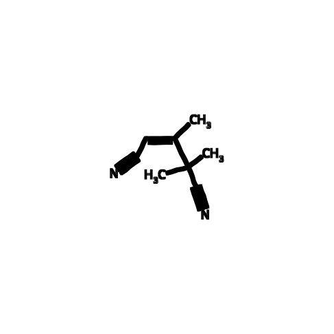 CC(=CC#N)C(C)(C)C#N